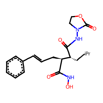 CC(C)C[C@@H](C(=O)NN1CCOC1=O)[C@H](CC=Cc1ccccc1)C(=O)NO